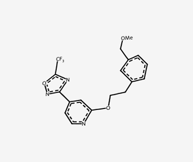 COCc1cccc(CCOc2cc(-c3noc(C(F)(F)F)n3)ccn2)c1